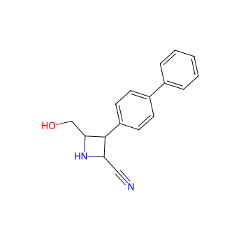 N#CC1NC(CO)C1c1ccc(-c2ccccc2)cc1